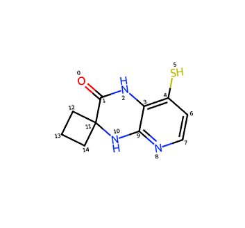 O=C1Nc2c(S)ccnc2NC12CCC2